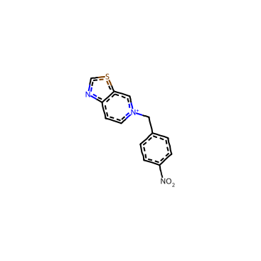 O=[N+]([O-])c1ccc(C[n+]2ccc3ncsc3c2)cc1